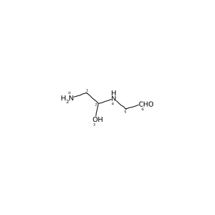 NCC(O)NCC=O